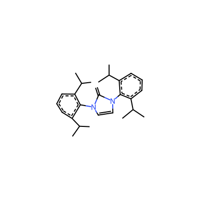 C=C1N(c2c(C(C)C)cccc2C(C)C)C=CN1c1c(C(C)C)cccc1C(C)C